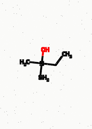 CC[Si](C)(O)[SiH3]